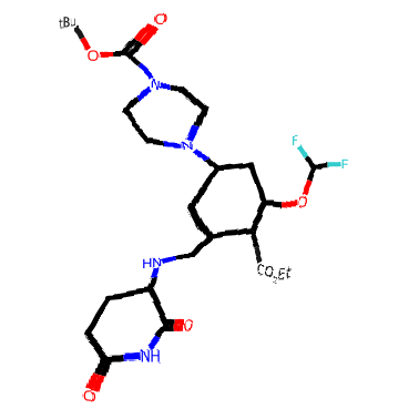 CCOC(=O)C1C(CNC2CCC(=O)NC2=O)CC(N2CCN(C(=O)OC(C)(C)C)CC2)CC1OC(F)F